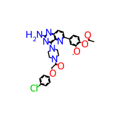 COc1cc(-c2ccc3nc(N)nc(N4CCN(C(=O)COc5ccc(Cl)cc5)CC4)c3n2)ccc1OC(C)=O